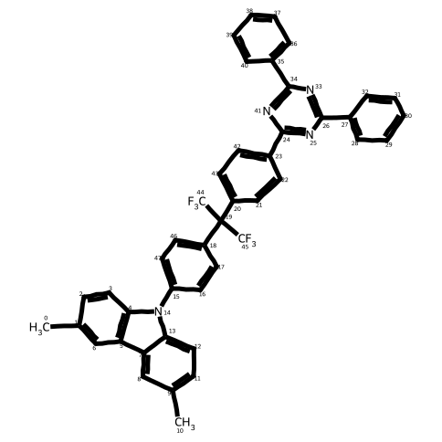 Cc1ccc2c(c1)c1cc(C)ccc1n2-c1ccc(C(c2ccc(-c3nc(-c4ccccc4)nc(-c4ccccc4)n3)cc2)(C(F)(F)F)C(F)(F)F)cc1